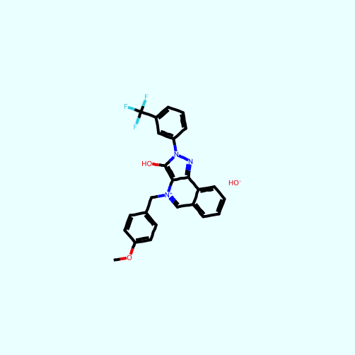 COc1ccc(C[n+]2cc3ccccc3c3nn(-c4cccc(C(F)(F)F)c4)c(O)c32)cc1.[OH-]